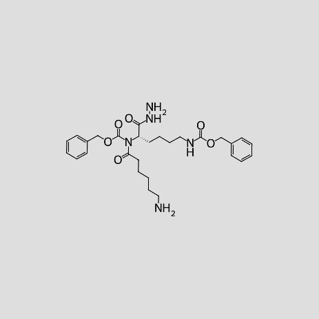 NCCCCCC(=O)N(C(=O)OCc1ccccc1)[C@@H](CCCCNC(=O)OCc1ccccc1)C(=O)NN